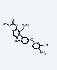 COCc1c(OC(=O)OC(C)C)ncc2[nH]c3ccc(Oc4ccc(N)c(C#N)c4)cc3c12